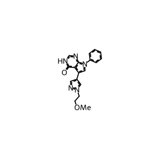 COCCn1cc(-c2cn(-c3ccccc3)c3nc[nH]c(=O)c23)cn1